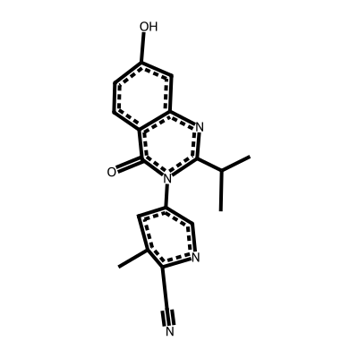 Cc1cc(-n2c(C(C)C)nc3cc(O)ccc3c2=O)cnc1C#N